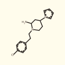 NC1CC(n2cccc2)CCN1CCc1ccc(Cl)cc1